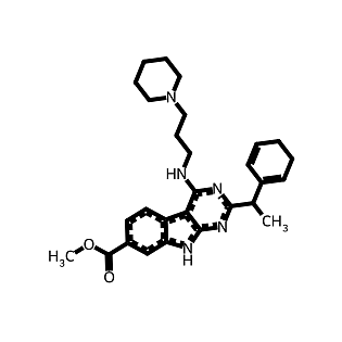 COC(=O)c1ccc2c(c1)[nH]c1nc(C(C)C3=CCCC=C3)nc(NCCCN3CCCCC3)c12